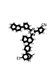 CC[C@@H]1C[C@@H]2C[C@H](C)CC(c3ccc(-c4ccc(-c5nc(-c6cccc(C#N)c6)nc(-c6cccc(-c7ccc8ccccc8c7)c6)n5)c5ccccc45)cc3)(C1)C2